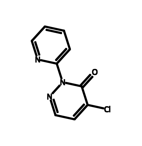 O=c1c(Cl)ccnn1-c1ccccn1